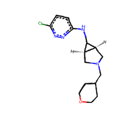 Clc1ccc(NC2[C@H]3CN(CC4CCOCC4)C[C@@H]23)nn1